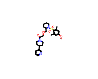 COc1cc(C)c(S(=O)(=O)N2CCCCC2COCC(=O)N2CCC(c3cccnc3)CC2)c(C)c1